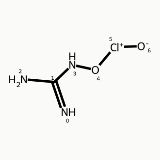 N=C(N)NO[Cl+][O-]